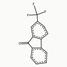 O=C1c2ccccc2-c2ccc(C(F)(F)F)cc21